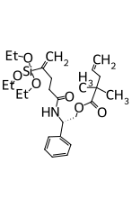 C=CCC(C)(C)C(=O)OC[C@@H](NC(=O)CCC(=C)[Si](OCC)(OCC)OCC)c1ccccc1